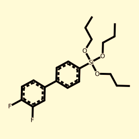 CCCO[Si](OCCC)(OCCC)c1ccc(-c2ccc(F)c(F)c2)cc1